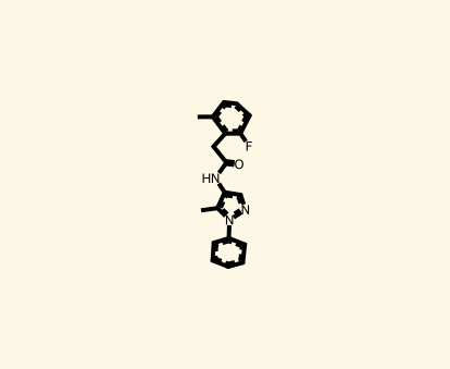 Cc1cccc(F)c1CC(=O)Nc1cnn(-c2ccccc2)c1C